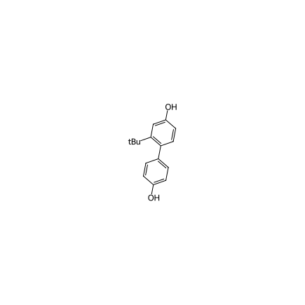 CC(C)(C)c1cc(O)ccc1-c1ccc(O)cc1